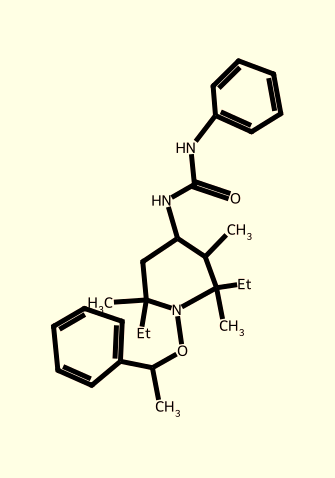 CCC1(C)CC(NC(=O)Nc2ccccc2)C(C)C(C)(CC)N1OC(C)c1ccccc1